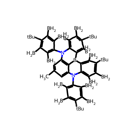 Bc1c(B)c(C(C)(C)C)c(B)c(B)c1N1c2cc(C)cc3c2B(c2c(B)c(C(C)(C)C)c(B)c(B)c21)c1c(B)c(C(C)(C)C)c(B)c(B)c1N3c1c(B)c(B)c(C(C)(C)C)c(B)c1B